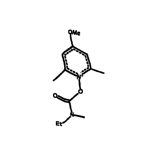 CCN(C)C(=O)O[n+]1c(C)cc(OC)cc1C